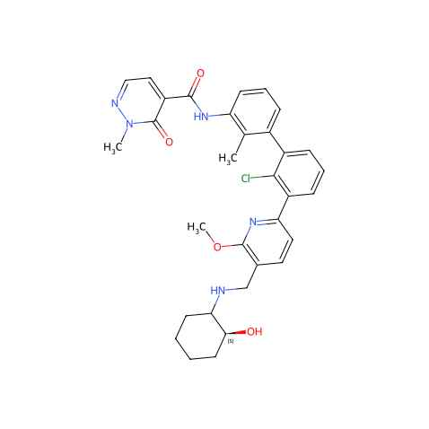 COc1nc(-c2cccc(-c3cccc(NC(=O)c4ccnn(C)c4=O)c3C)c2Cl)ccc1CNC1CCCC[C@@H]1O